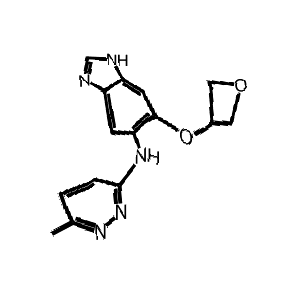 Cc1ccc(Nc2cc3nc[nH]c3cc2OC2COC2)nn1